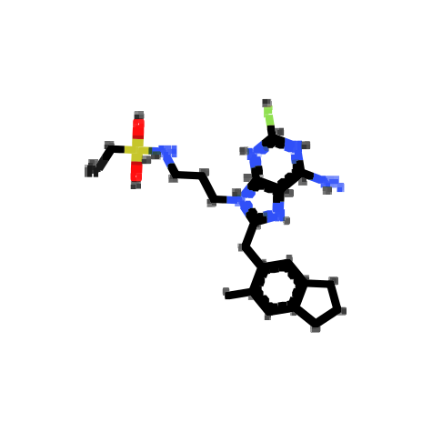 Cc1cc2c(cc1Cc1nc3c(N)nc(F)nc3n1CCCNS(=O)(=O)CC(C)C)CCC2